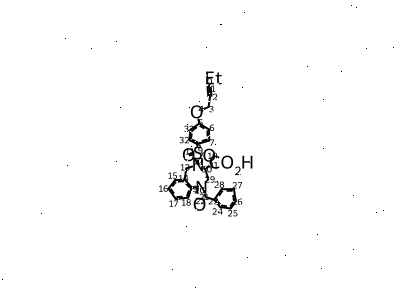 CCC#CCOc1ccc(S(=O)(=O)N2Cc3ccccc3N(C(=O)c3ccccc3)CC2C(=O)O)cc1